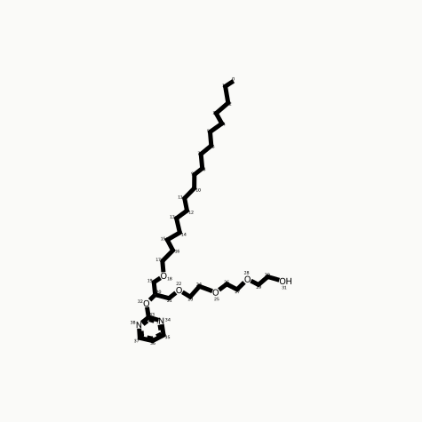 CCCCCCCCCCCCCCCCCCOCC(COCCOCCOCCO)Oc1ncccn1